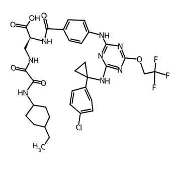 CCC1CCC(NC(=O)C(=O)NC[C@H](NC(=O)c2ccc(Nc3nc(NC4(c5ccc(Cl)cc5)CC4)nc(OCC(F)(F)F)n3)cc2)C(=O)O)CC1